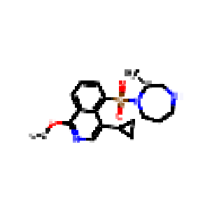 C[C@@H]1CNCCCN1S(=O)(=O)c1cccc2c(OC=O)ncc(C3CC3)c12